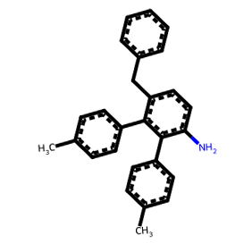 Cc1ccc(-c2c(N)ccc(Cc3ccccc3)c2-c2ccc(C)cc2)cc1